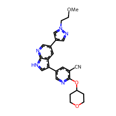 COCCn1cc(-c2cnc3[nH]cc(-c4cnc(OC5CCOCC5)c(C#N)c4)c3c2)cn1